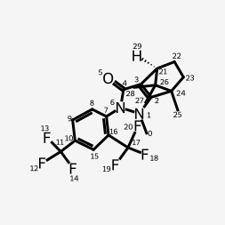 Cn1c2c(c(=O)n1-c1ccc(C(F)(F)F)cc1C(F)(F)F)[C@H]1CCC2(C)C1(C)C